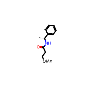 COCCC(=O)N[C@H](C)c1[c]cccc1